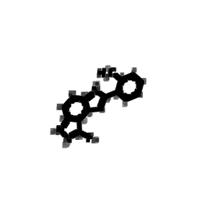 Cc1ccccc1C1=Cc2c3c(ccc2=N1)=NN=C3F